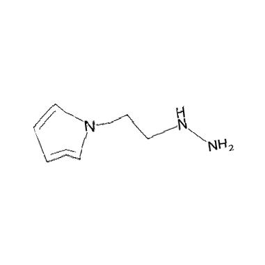 NNCCn1cccc1